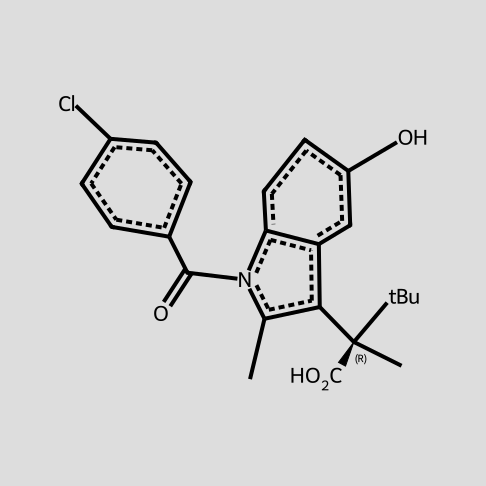 Cc1c([C@](C)(C(=O)O)C(C)(C)C)c2cc(O)ccc2n1C(=O)c1ccc(Cl)cc1